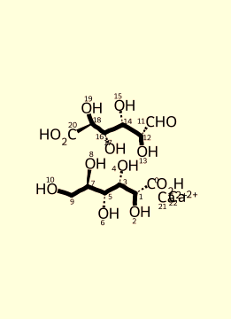 O=C(O)[C@H](O)[C@@H](O)[C@H](O)[C@H](O)CO.O=C[C@H](O)[C@@H](O)[C@H](O)[C@H](O)C(=O)O.[Ca+2].[Ca+2]